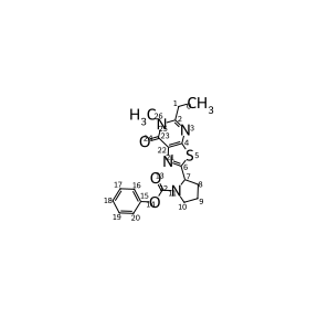 CCc1nc2sc(C3CCCN3C(=O)Oc3ccccc3)nc2c(=O)n1C